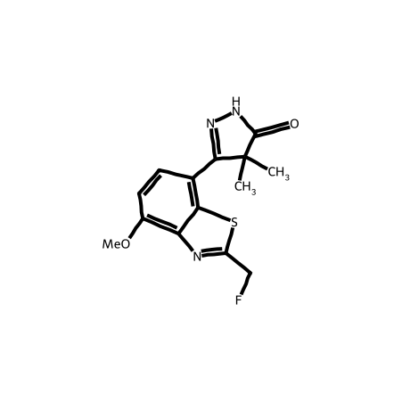 COc1ccc(C2=NNC(=O)C2(C)C)c2sc(CF)nc12